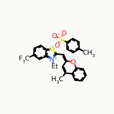 CC[n+]1c(/C=C2\C=C(C)c3ccccc3O2)sc2ccc(C(F)(F)F)cc21.Cc1ccc(S(=O)(=O)[O-])cc1